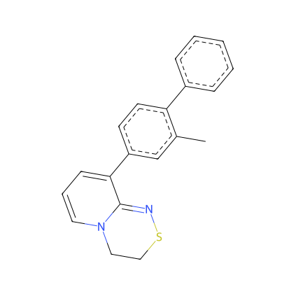 Cc1cc(C2=CC=CN3CCSN=C23)ccc1-c1ccccc1